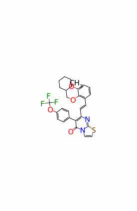 COc1cccc(C=Cc2nc3sccn3c(=O)c2-c2ccc(OC(F)(F)F)cc2)c1OCC1CCCCC1